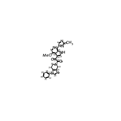 COc1cnc(-n2cnc(C)n2)c2[nH]cc(C(=O)C(=O)N3CCc4c(ncn4-c4ccccc4)C3)c12